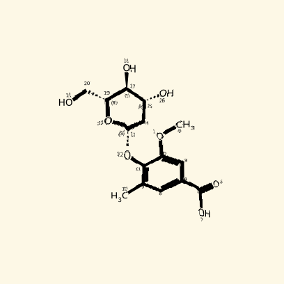 COc1cc(C(=O)O)cc(C)c1O[C@H]1C[C@@H](O)[C@H](O)[C@@H](CO)O1